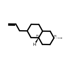 C=CCC1CCC2C[C@H](C)CC[C@@H]2C1